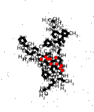 CC[C@H](C)[C@@H]([C@@H](CC(=O)N1CCC[C@H]1[C@H](OC)[C@@H](C)C(=O)N[C@H](C)[C@@H](O)c1ccccc1)OC)N(C)C(=O)[C@@H](NC(=O)[C@H](C(C)C)N(C)C(=O)OCc1ccc(NC(=O)[C@H](CCCNC(N)=O)NC(=O)[C@@H](NC(=O)CCOCCC(=O)NCCNc2ncc(-c3cc(C)cc(F)c3)c(N3CCC(NC(=O)OC(C)(C)C)CC3)c2-c2nc3ccc(Cl)cc3[nH]2)C(C)C)c(O[C@@H]2O[C@H](C(=O)O)[C@@H](O)[C@H](O)[C@H]2O)c1)C(C)C